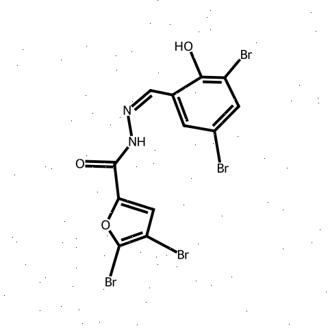 O=C(N/N=C\c1cc(Br)cc(Br)c1O)c1cc(Br)c(Br)o1